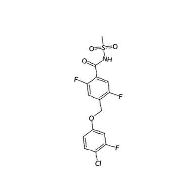 CS(=O)(=O)NC(=O)c1cc(F)c(COc2ccc(Cl)c(F)c2)cc1F